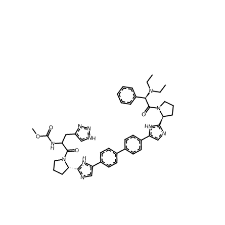 CCN(CC)[C@@H](C(=O)N1CCC[C@H]1c1ncc(-c2ccc(-c3ccc(-c4cnc([C@@H]5CCCN5C(=O)C(Cc5c[nH]nn5)NC(=O)OC)[nH]4)cc3)cc2)[nH]1)c1ccccc1